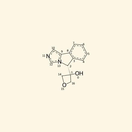 OC1([C@H]2c3ccccc3-c3cncn32)COC1